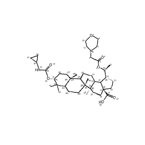 C[C@H](OC(=O)CN1CCOCC1)[C@@H]1CC[C@]2(C(=O)O)CC[C@]3(C)C(CCC4[C@@]5(C)CC[C@@H](OC(=O)NC6CC6)C(C)(C)C5CC[C@]43C)C12